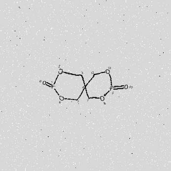 O=[P]1OCC2(CO1)CO[P](=O)OC2